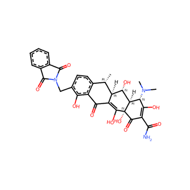 C[C@H]1c2ccc(CN3C(=O)c4ccccc4C3=O)c(O)c2C(=O)C2=C(O)[C@]3(O)C(=O)C(C(N)=O)=C(O)[C@@H](N(C)C)[C@@H]3[C@@H](O)[C@@H]21